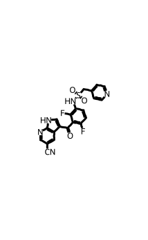 N#Cc1cnc2[nH]cc(C(=O)c3c(F)ccc(NS(=O)(=O)Cc4ccncc4)c3F)c2c1